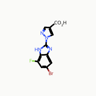 O=C(O)c1cnn(-c2nc3cc(Br)cc(F)c3[nH]2)c1